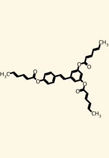 C/C=C/C=C/C(=O)Oc1ccc(C=Cc2cc(OC(=O)/C=C/C=C/C)cc(OC(=O)/C=C/C=C/C)c2)cc1